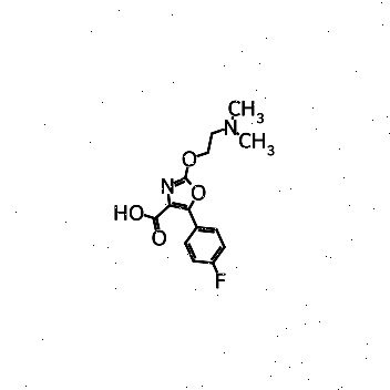 CN(C)CCOc1nc(C(=O)O)c(-c2ccc(F)cc2)o1